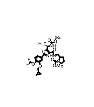 COC(=O)N1CCCC1CNC(=O)c1nc(-c2ccc(OC(F)F)c(OCC3CC3)c2)oc1[C@H](C)NC(=O)OC(C)(C)C